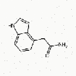 NC(=O)Cc1cccc2[nH]ccc12